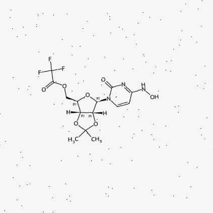 CC1(C)O[C@@H]2[C@H](O1)[C@@H](COC(=O)C(F)(F)F)O[C@H]2n1ccc(NO)nc1=O